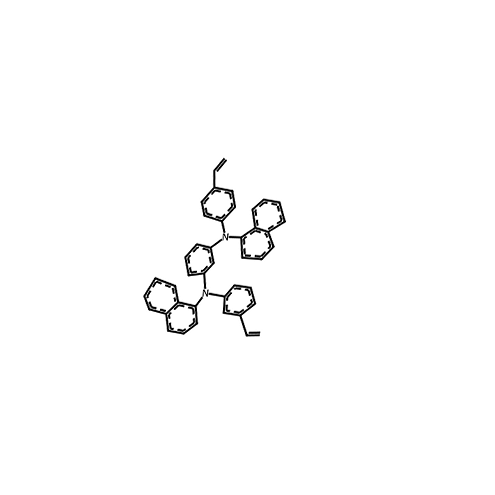 C=Cc1ccc(N(c2cccc(N(c3cccc(C=C)c3)c3cccc4ccccc34)c2)c2cccc3ccccc23)cc1